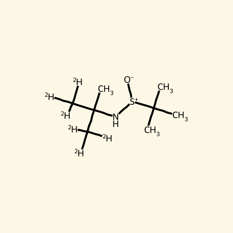 [2H]C([2H])([2H])C(C)(N[S+]([O-])C(C)(C)C)C([2H])([2H])[2H]